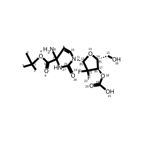 CC(C)(C)OC(=O)C1(N)C=CN([C@@H]2O[C@H](CO)[C@@H](OC(=O)O)C2(F)F)C(=O)N1